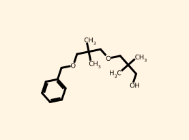 CC(C)(CO)COCC(C)(C)COCc1ccccc1